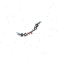 O=C(CCCCC1CCC(c2ccc(CCCF)cc2)CC1)CCCC[C@H]1CC[C@H](c2ccc(CCCF)cc2)CC1